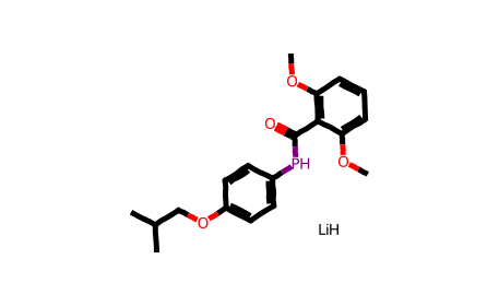 COc1cccc(OC)c1C(=O)Pc1ccc(OCC(C)C)cc1.[LiH]